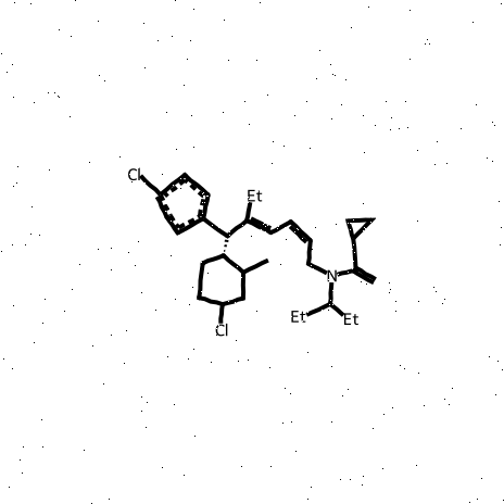 C=C(C1CC1)N(C/C=C\C=C(/CC)C(c1ccc(Cl)cc1)[C@H]1CCC(Cl)CC1C)C(CC)CC